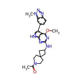 COc1nc(NC2CC3(CCN(C(C)=O)CC3)C2)nc2[nH]cc(-c3ccc4nnn(C)c4c3)c12